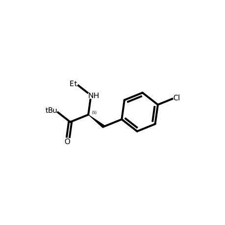 CCN[C@@H](Cc1ccc(Cl)cc1)C(=O)C(C)(C)C